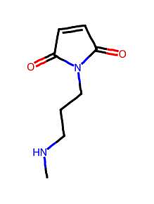 CNCCCN1C(=O)C=CC1=O